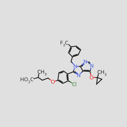 CC(CCOc1ccc(-c2nc3c(OC4(C)CC4)ncnc3n2Cc2cccc(C(F)(F)F)c2)c(Cl)c1)C(=O)O